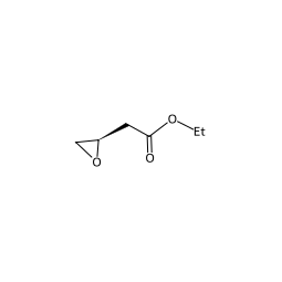 CCOC(=O)C[C@@H]1CO1